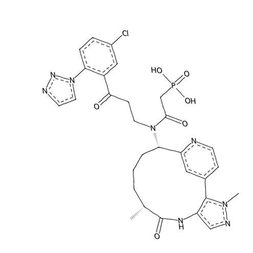 C[C@@H]1CCC[C@H](N(CCC(=O)c2cc(Cl)ccc2-n2ccnn2)C(=O)CP(=O)(O)O)c2cc(ccn2)-c2c(cnn2C)NC1=O